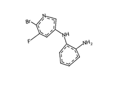 Nc1ccccc1Nc1cnc(Br)c(F)c1